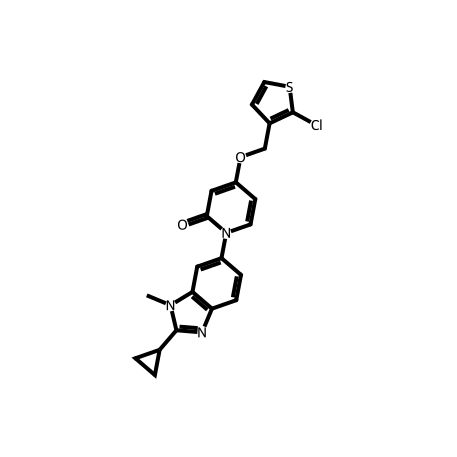 Cn1c(C2CC2)nc2ccc(-n3ccc(OCc4ccsc4Cl)cc3=O)cc21